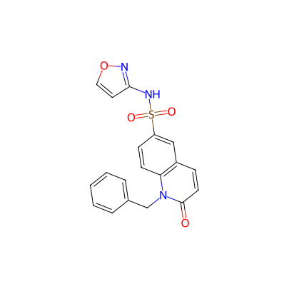 O=c1ccc2cc(S(=O)(=O)Nc3ccon3)ccc2n1Cc1ccccc1